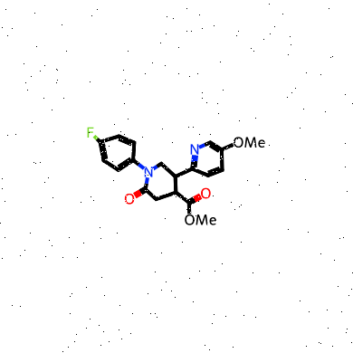 COC(=O)C1CC(=O)N(c2ccc(F)cc2)CC1c1ccc(OC)cn1